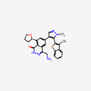 Cn1ncc(-c2cc([C@H]3CCCO3)c3c(=O)[nH]nc(CN)c3c2)c1-c1sc2ccccc2c1C#N